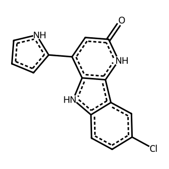 O=c1cc(-c2ccc[nH]2)c2[nH]c3ccc(Cl)cc3c2[nH]1